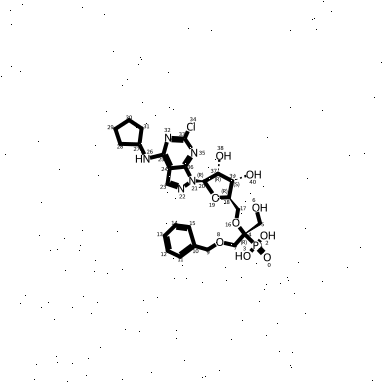 O=P(O)(O)[C@](CO)(COCc1ccccc1)OC[C@H]1O[C@@H](n2ncc3c(NC4CCCC4)nc(Cl)nc32)[C@H](O)[C@@H]1O